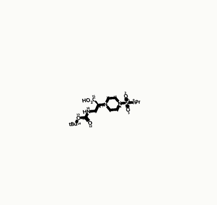 CCCS(=O)(=O)N1CCN([C@@H](CNC(=O)OC(C)(C)C)C(=O)O)CC1